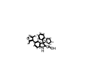 Cc1noc(C)c1-c1ccc2c(c1)C(c1ccccc1)(N1CCC[C@@H]1CO)C(=O)N2